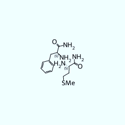 CSCC[C@H](N)C(N)=O.NC(=O)[C@@H](N)Cc1ccccc1